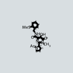 CSc1ccccc1CNC(=O)c1nc(C2CCCN2C(C)=O)n(C)c(=O)c1O